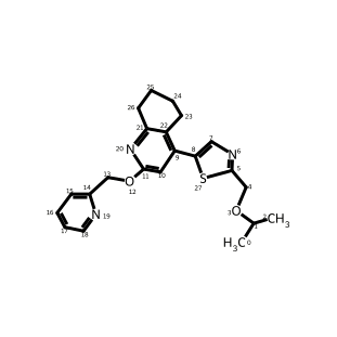 CC(C)OCc1ncc(-c2cc(OCc3ccccn3)nc3c2CCCC3)s1